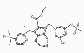 CCOC(=O)c1c(Cc2cccc(C(F)(F)F)c2)c2ccccc2n1Cc1cc(O)cc(OS(C)(=O)=O)c1